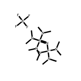 CN(C)P(=N[P+](N(C)C)(N(C)C)N(C)C)(N(C)C)N(C)C.F[B-](F)(F)F